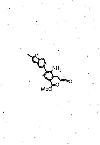 COC(=O)c1ccc(-c2ccc3oc(C)cc3c2)c(N)c1CC=C=O